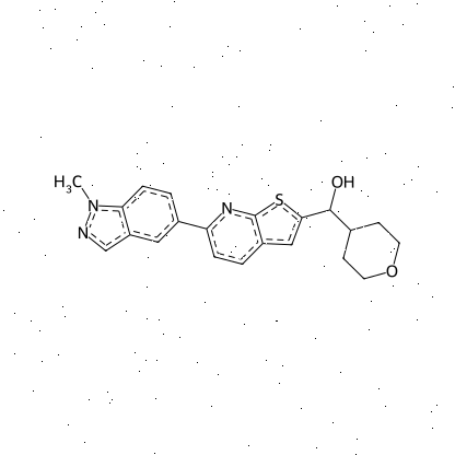 Cn1ncc2cc(-c3ccc4cc(C(O)C5CCOCC5)sc4n3)ccc21